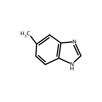 Cc1[c]c2nc[nH]c2cc1